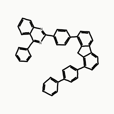 c1ccc(-c2ccc(-c3cccc4c3Cc3c(-c5ccc(-c6nc(-c7ccccc7)c7ccccc7n6)cc5)cccc3-4)cc2)cc1